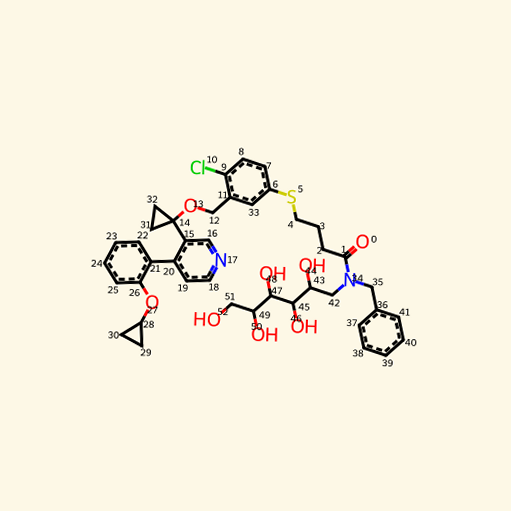 O=C(CCCSc1ccc(Cl)c(COC2(c3cnccc3-c3ccccc3OC3CC3)CC2)c1)N(Cc1ccccc1)CC(O)C(O)C(O)C(O)CO